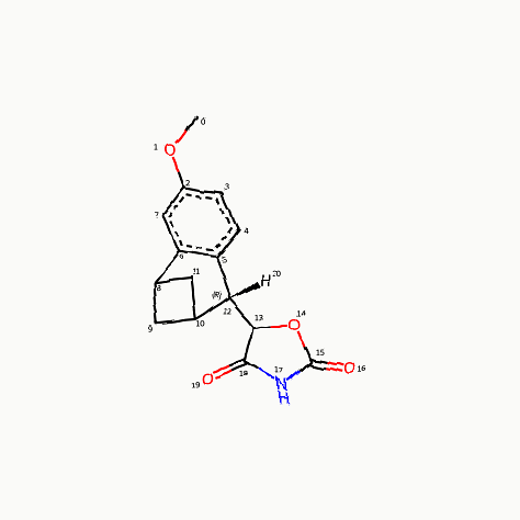 COc1ccc2c(c1)C1CC(C1)[C@H]2C1OC(=O)NC1=O